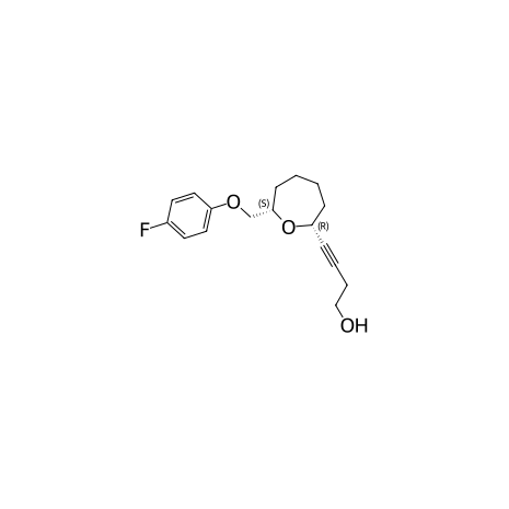 OCCC#C[C@H]1CCCC[C@@H](COc2ccc(F)cc2)O1